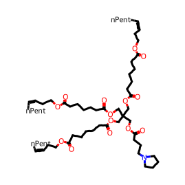 CCCCC/C=C\CCOC(=O)CCCCCC(=O)OCC(COC(=O)CCCCCC(=O)OCC/C=C\CCCCC)(COC(=O)CCCCCC(=O)OCC/C=C\CCCCC)COC(=O)CCCN1CCCC1